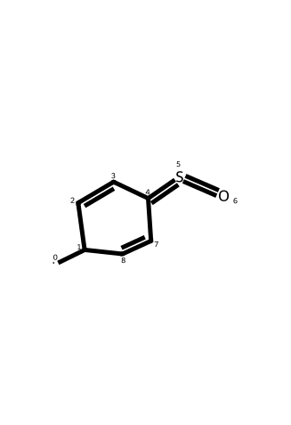 [CH2]C1C=CC(=S=O)C=C1